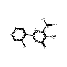 Cc1ccccc1-c1cc(=O)c(O)c(C(=O)O)[nH]1